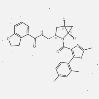 Cc1ccc(-c2sc(C)nc2C(=O)N2[C@H](CNC(=O)c3cccc4c3CCO4)C[C@@H]3C[C@@H]32)c(C)c1